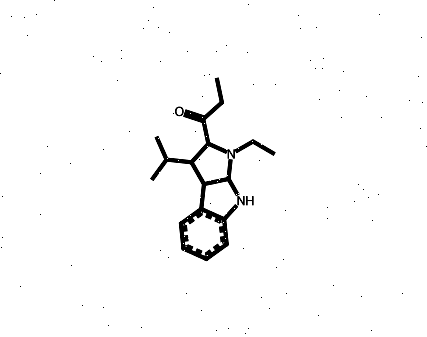 CCC(=O)C1C(C(C)C)C2c3ccccc3NC2N1CC